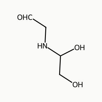 O=CCNC(O)CO